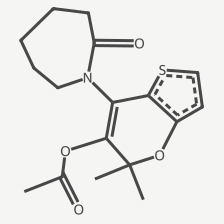 CC(=O)OC1=C(N2CCCCCC2=O)c2sccc2OC1(C)C